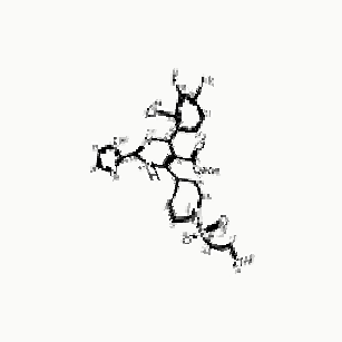 COC(=O)C1=C(C2CCN(S(=O)(=O)CCO)CC2)NC(c2nccs2)=NC1c1ccc(F)c(F)c1Cl